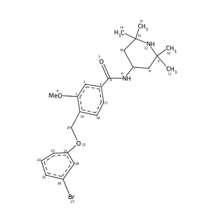 COc1cc(C(=O)NC2CC(C)(C)NC(C)(C)C2)ccc1COc1cccc(Br)c1